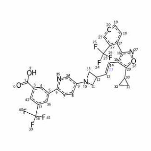 O=C(O)c1cc(-c2ccc(N3CC(/C=C/c4c(-c5ccccc5C(F)(F)F)noc4C4CC4)C3)cn2)cc(C(F)(F)F)c1